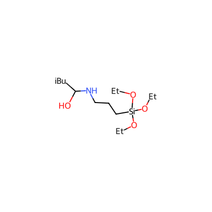 CCO[Si](CCCNC(O)C(C)CC)(OCC)OCC